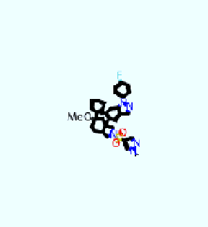 COC1(c2ccccc2)CCC2CN(S(=O)(=O)c3cnn(C)c3)CC2(c2cc3cnn(-c4ccc(F)cc4)c3cc2C)C1